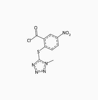 Cn1nnnc1Sc1ccc([N+](=O)[O-])cc1C(=O)Cl